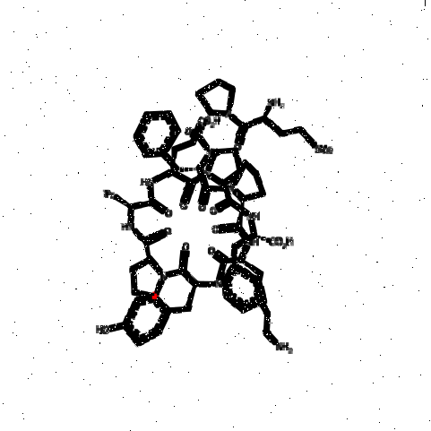 CSCC[C@H](N)C(=O)N1CCC[C@H]1C(=O)N[C@@H](Cc1ccccc1)C(=O)N1CCC[C@H]1C(=O)N[C@@H](CCCCN)C(=O)N[C@@H](Cc1ccc(O)cc1)C(=O)N1CCC[C@H]1C(=O)N[C@H](C(=O)N[C@@H](CCC(=O)O)C(=O)N1CCC[C@H]1C(=O)N[C@@H](Cc1ccccc1)C(=O)O)C(C)C